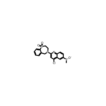 C[S+]([O-])c1ccc2nc(N3CCS(=O)(=O)c4ccccc4C3)cc(Cl)c2c1